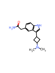 CN(C)C1CC(c2c[nH]c3ccc(CC(N)=O)cc23)C1